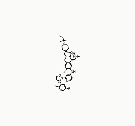 CCCC1(CCCc2cc(OC)c(Nc3cc(N4OCC[C@@H]4c4cc(F)ccc4F)ncn3)cc2/C(C=N)=C/NC)CCN(C(C)(C)CF)CC1